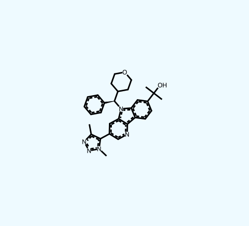 Cc1nnn(C)c1-c1cnc2c3ccc(C(C)(C)O)cc3n([C@@H](c3ccccc3)C3CCOCC3)c2c1